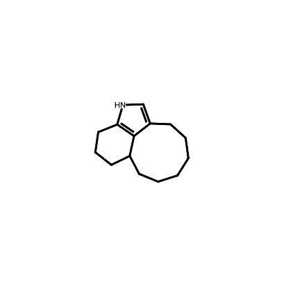 c1[nH]c2c3c1CCCCCCC3CCC2